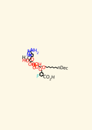 CCCCCCCCCCCCCCCCCCOC[C@H](COP(=O)(O)OC[C@H]1O[C@@](C)(c2ccc3c(N)ncnn23)[C@H](O)[C@@H]1O)OCc1cc(F)cc(C(=O)O)c1